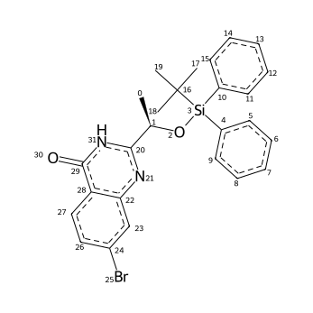 C[C@@H](O[Si](c1ccccc1)(c1ccccc1)C(C)(C)C)c1nc2cc(Br)ccc2c(=O)[nH]1